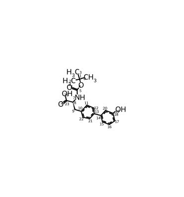 CC(C)(C)OC(=O)N[C@@H](Cc1ccc(-c2cccc(O)c2)cc1)C(=O)O